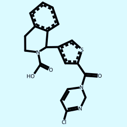 O=C(c1cc(C2c3ccccc3CCN2C(=O)O)cs1)N1C=CC(Cl)=NC1